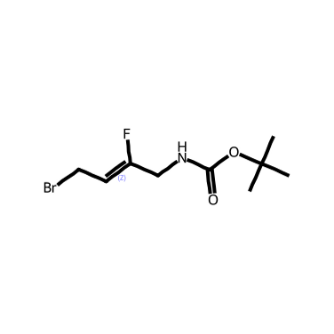 CC(C)(C)OC(=O)NC/C(F)=C/CBr